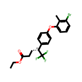 CCOC(=O)CC[C@H](c1ccc(Oc2cccc(Br)c2C)cc1)C(F)(F)F